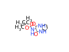 CC(C)(C)OC(=O)NC1C(=O)Nc2ccccc2NC1=O